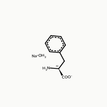 N[C@@H](Cc1ccccc1)C(=O)[O-].O.[Na+]